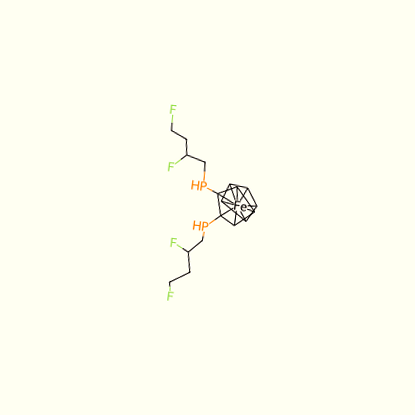 FCCC(F)CP[C]12[CH]3[CH]4[CH]5[C]1(PCC(F)CCF)[Fe]43521678[CH]2[CH]1[CH]6[CH]7[CH]28